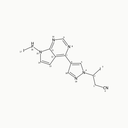 N#CCC(I)n1cc(-c2ncnc3c2ccn3PI)cn1